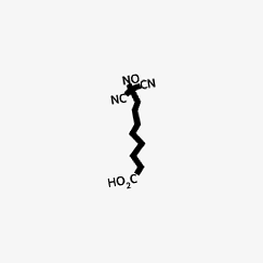 N#CC(C#N)(CCCCCCCC(=O)O)N=O